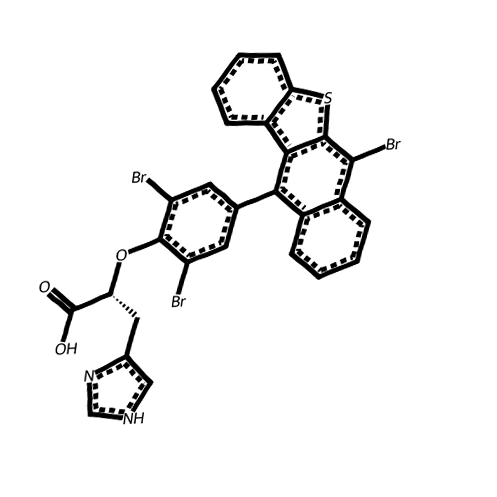 O=C(O)[C@@H](Cc1c[nH]cn1)Oc1c(Br)cc(-c2c3ccccc3c(Br)c3sc4ccccc4c23)cc1Br